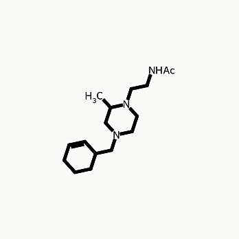 CC(=O)NCCN1CCN(CC2C=CCCC2)CC1C